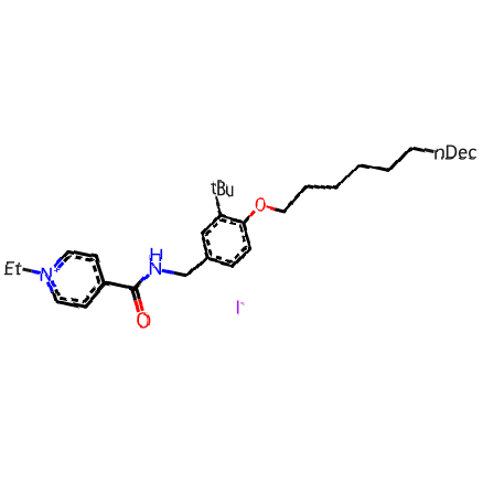 CCCCCCCCCCCCCCCCOc1ccc(CNC(=O)c2cc[n+](CC)cc2)cc1C(C)(C)C.[I-]